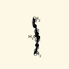 C=CC(=O)OCCOc1ccc(/C=C/C(=O)Oc2ccc3c(c2)C(C)c2cc(OC(=O)/C=C/c4ccc(OCOC(=O)C=C)cc4)ccc2-3)cc1